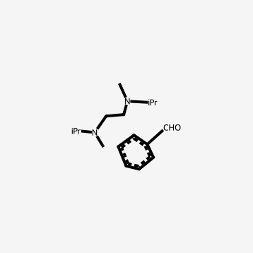 CC(C)N(C)CCN(C)C(C)C.O=Cc1ccccc1